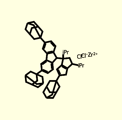 CC(C)C1CC(C(C)C)(C2c3ccc(C45CC6CC(CC(C6)C4)C5)cc3-c3cc(C45CC6CC(CC(C6)C4)C5)ccc32)C2=C1CC(C13CC4CC(CC(C4)C1)C3)=C2.[Cl-].[Cl-].[Zr+2]